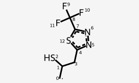 [CH2]C(S)Cc1nnc(C(F)(F)F)s1